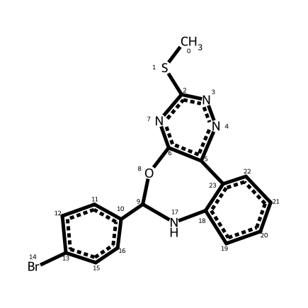 CSc1nnc2c(n1)OC(c1ccc(Br)cc1)Nc1ccccc1-2